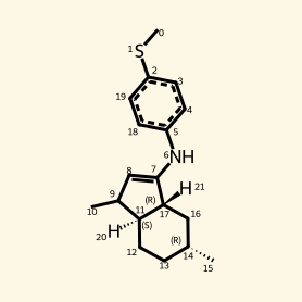 CSc1ccc(NC2=CC(C)[C@@H]3CC[C@@H](C)C[C@@H]23)cc1